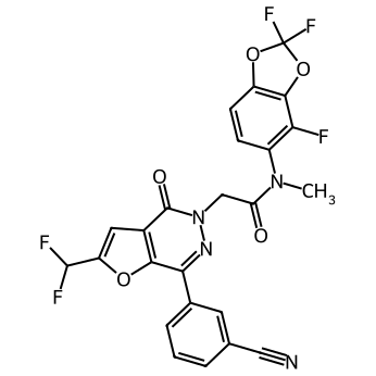 CN(C(=O)Cn1nc(-c2cccc(C#N)c2)c2oc(C(F)F)cc2c1=O)c1ccc2c(c1F)OC(F)(F)O2